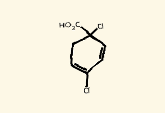 O=C(O)C1(Cl)C=CC(Cl)=CC1